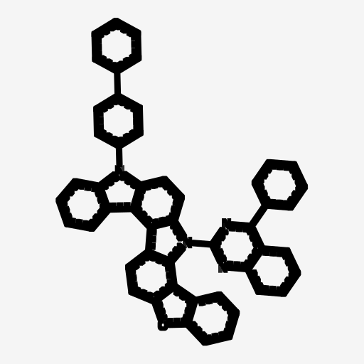 c1ccc(-c2ccc(-n3c4ccccc4c4c5c6ccc7oc8ccccc8c7c6n(-c6nc(-c7ccccc7)c7ccccc7n6)c5ccc43)cc2)cc1